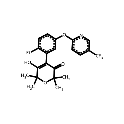 CCc1ccc(Oc2ccc(C(F)(F)F)cn2)cc1C1=C(O)C(C)(C)OC(C)(C)C1=O